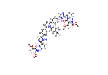 COC(=O)N[C@H](C(=O)N1CCC[C@H]1c1ncc(-c2ccc(C3CCC(c4ccc(-c5cnc([C@@H]6CCCN6C(=O)[C@H](NC(=O)OC)[C@H](C)OC)[nH]5)cc4)N3c3ccc(C(C)(C)C)cc3)cc2)[nH]1)[C@H](C)OC